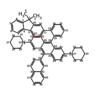 CC1(C)c2ccccc2-c2ccc(-c3ccccc3-c3c4ccc(N5CCCCC5)cc4c(-c4ccc5ccccc5c4)c4ccc(N5CCCCC5)cc34)cc21